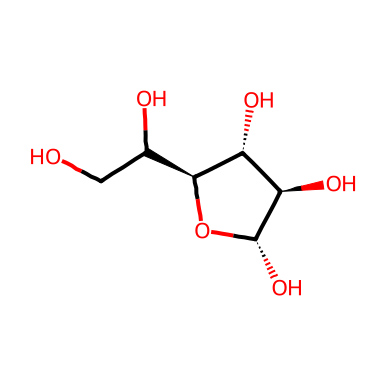 OCC(O)[C@@H]1O[C@@H](O)[C@H](O)[C@H]1O